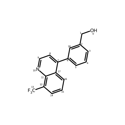 OCc1cccc(-c2ccnc3c(C(F)(F)F)cccc23)c1